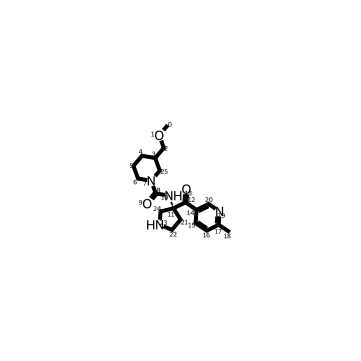 COCC1CCCN(C(=O)N[C@]2(C(=O)c3ccc(C)nc3)CCNC2)C1